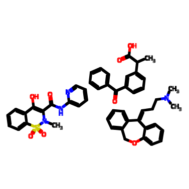 CC(C(=O)O)c1cccc(C(=O)c2ccccc2)c1.CN(C)CCC=C1c2ccccc2COc2ccccc21.CN1C(C(=O)Nc2ccccn2)=C(O)c2ccccc2S1(=O)=O